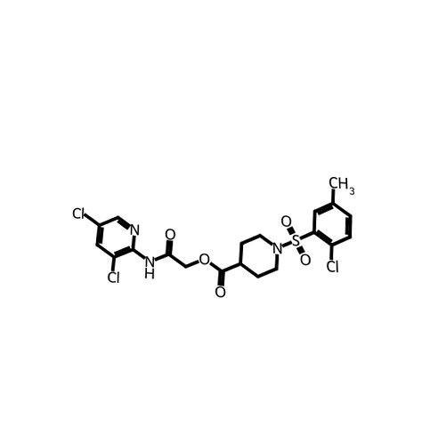 Cc1ccc(Cl)c(S(=O)(=O)N2CCC(C(=O)OCC(=O)Nc3ncc(Cl)cc3Cl)CC2)c1